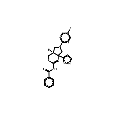 O=C(NC1=NC2(c3ccns3)CN(c3ncc(F)cn3)C[C@H]2CS1)c1ccccc1